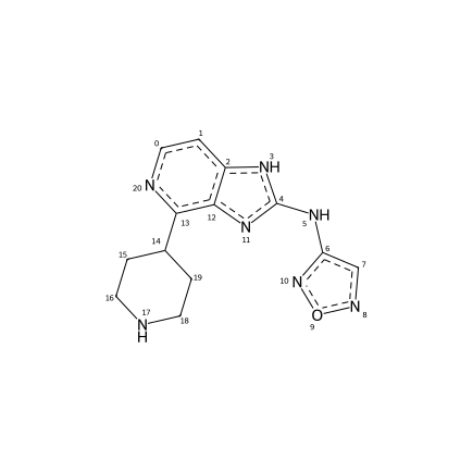 c1cc2[nH]c(Nc3cnon3)nc2c(C2CCNCC2)n1